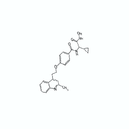 Cc1cc(CCOc2ccc(C(=O)NC(C(=O)NO)C3CC3)cc2)c2ccccc2n1